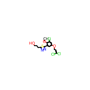 COc1c(Cl)cc(OCC=C(Cl)Cl)cc1-c1nnc(CCCO)s1